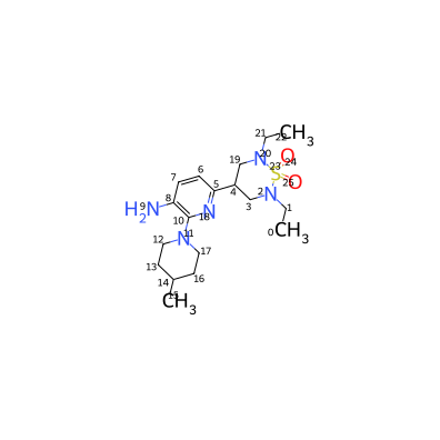 CCN1CC(c2ccc(N)c(N3CCC(C)CC3)n2)CN(CC)S1(=O)=O